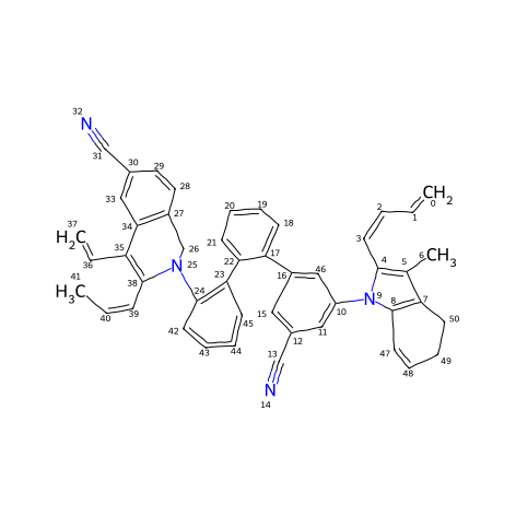 C=C/C=C\c1c(C)c2c(n1-c1cc(C#N)cc(-c3ccccc3C3=C(N4Cc5ccc(C#N)cc5C(C=C)=C4/C=C\C)C=C=C=C3)c1)C=CCC2